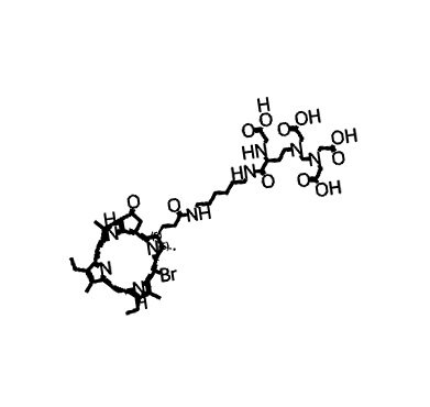 CCC1=C(C)c2cc3[nH]c(c(C)c3CC)c(Br)c3nc(c4c5[nH]c(cc1n2)c(C)c5C(=O)C4)[C@@H](CCC(=O)NCCCCCCNC(=O)C(CCN(CC(=O)O)CN(CC(=O)O)CC(=O)O)NCC(=O)O)[C@@H]3C